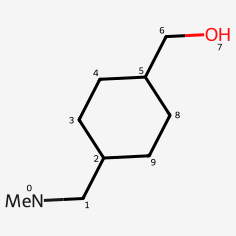 CNCC1CCC(CO)CC1